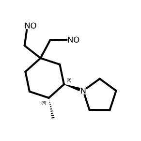 C[C@@H]1CCC(CN=O)(CN=O)C[C@H]1N1CCCC1